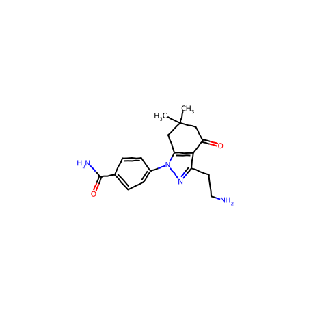 CC1(C)CC(=O)c2c(CCN)nn(-c3ccc(C(N)=O)cc3)c2C1